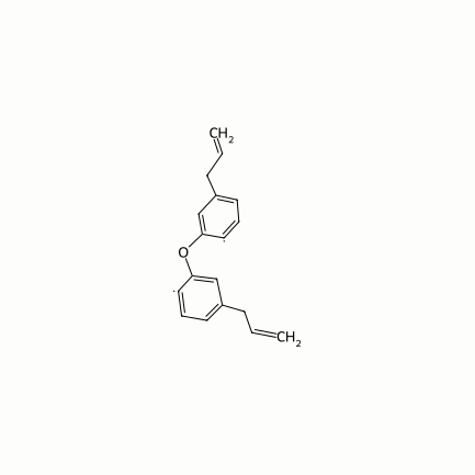 C=CCc1cc[c]c(Oc2[c]ccc(CC=C)c2)c1